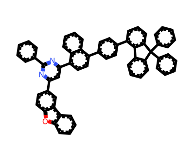 c1ccc(-c2nc(-c3ccc4oc5ccccc5c4c3)cc(-c3ccc(-c4ccc(-c5cccc6c5-c5ccccc5C6(c5ccccc5)c5ccccc5)cc4)c4ccccc34)n2)cc1